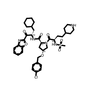 CS(=O)(=O)N[C@H](CCC1CCNCC1)C(=O)N1C[C@H](OCc2ccc(Cl)cc2)C[C@H]1C(=O)N[C@@H](CC1CCCCC1)C(=O)c1nc2ccccc2o1